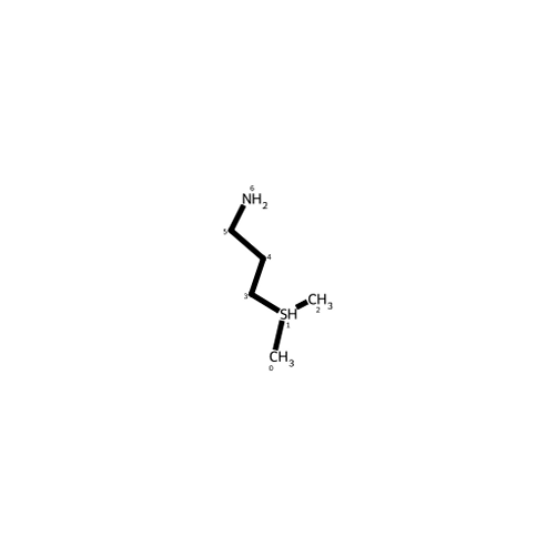 C[SH](C)CCCN